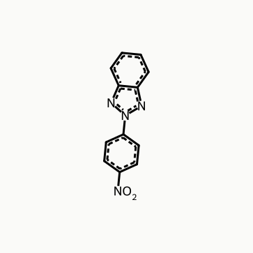 O=[N+]([O-])c1ccc(-n2nc3ccccc3n2)cc1